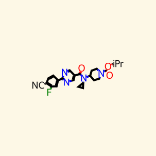 CC(C)OC(=O)N1CCC(N(C(=O)c2cnc(-c3ccc(C#N)c(F)c3)nc2)C2CC2)CC1